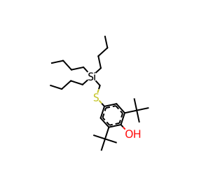 CCCC[Si](CCCC)(CCCC)CSc1cc(C(C)(C)C)c(O)c(C(C)(C)C)c1